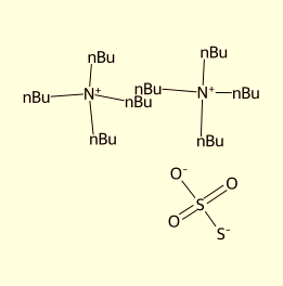 CCCC[N+](CCCC)(CCCC)CCCC.CCCC[N+](CCCC)(CCCC)CCCC.O=S(=O)([O-])[S-]